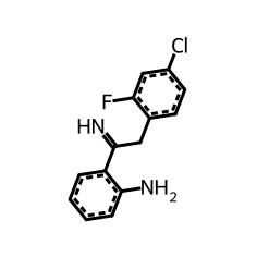 N=C(Cc1ccc(Cl)cc1F)c1ccccc1N